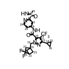 CS(=N)(=O)c1cc(NC(=O)c2c(C(F)(F)F)c(C3CC3)nn2CC23CC(C2)C(F)(F)C3)ccn1